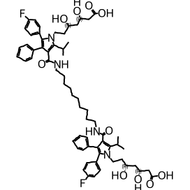 CC(C)c1c(C(=O)NCCCCCCCCCCNC(=O)c2c(-c3ccccc3)c(-c3ccc(F)cc3)n(CC[C@@H](O)C[C@@H](O)CC(=O)O)c2C(C)C)c(-c2ccccc2)c(-c2ccc(F)cc2)n1CC[C@@H](O)C[C@@H](O)CC(=O)O